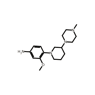 COc1cc(N)ccc1N1CCCC(N2CCN(C)CC2)C1